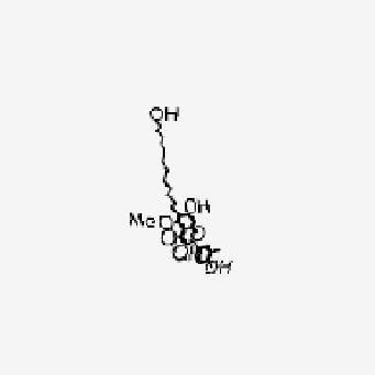 COc1c(CCCCCCCCCCCCCO)c(O)cc2oc(-c3ccc(O)c(C)c3)c(O)c(=O)c12